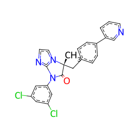 C[C@@]1(Cc2ccc(-c3cccnc3)cc2)C(=O)N(c2cc(Cl)cc(Cl)c2)c2nccn21